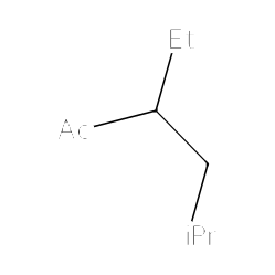 CCC(CC(C)C)C(C)=O